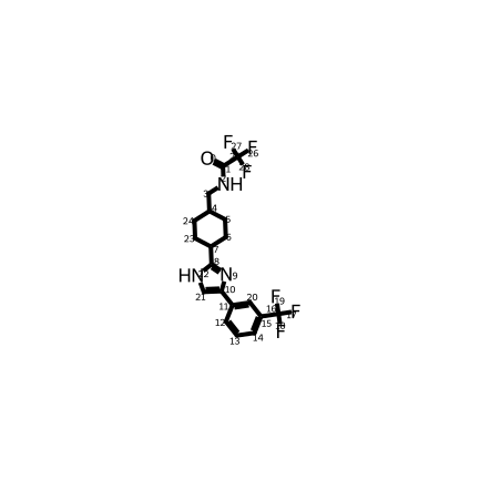 O=C(NCC1CCC(c2nc(-c3cccc(C(F)(F)F)c3)c[nH]2)CC1)C(F)(F)F